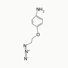 [N-]=[N+]=NCCOc1ccc(N)cc1